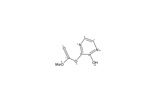 COC(=O)Oc1nccnc1O